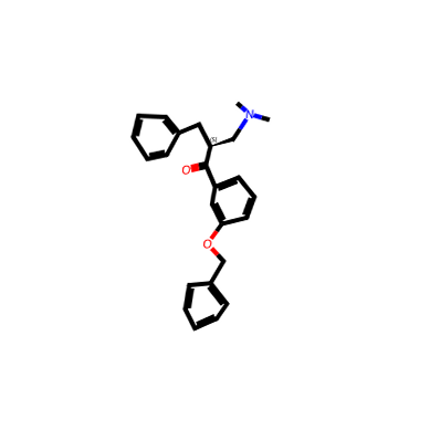 CN(C)C[C@H](Cc1ccccc1)C(=O)c1cccc(OCc2ccccc2)c1